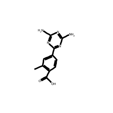 Cc1cc(-c2nc(N)nc(N)n2)ccc1C(=O)O